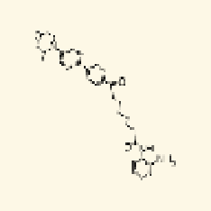 CC1COCCN1c1ccc(-c2ccc(C(=O)CCCCCCC(=O)Nc3ccccc3N)cc2)cc1